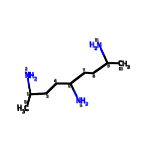 CC(N)CCC(N)CCC(C)N